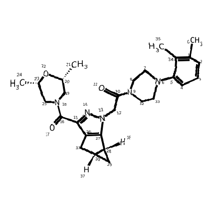 Cc1cccc(N2CCN(C(=O)Cn3nc(C(=O)N4C[C@@H](C)O[C@@H](C)C4)c4c3[C@@H]3C[C@@H]3C4)CC2)c1C